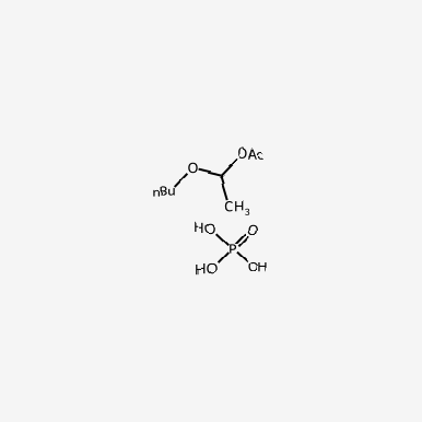 CCCCOC(C)OC(C)=O.O=P(O)(O)O